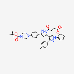 COC(=O)CCC(=O)N1N=C(c2ccc(N3CCN(C(=O)OC(C)(C)C)CC3)cc2)CC1c1cn(-c2ccccc2)nc1-c1ccc(C)cc1